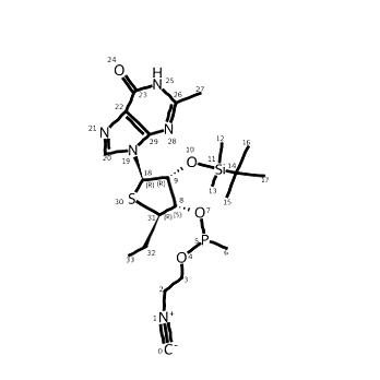 [C-]#[N+]CCOP(C)O[C@H]1[C@@H](O[Si](C)(C)C(C)(C)C)[C@H](n2cnc3c(=O)[nH]c(C)nc32)S[C@@H]1CC